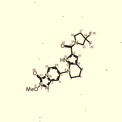 COn1nc2cc(N3CCCc4cc(C(=O)N5CCC(F)(F)C5)[nH]c43)ccn2c1=O